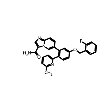 Cc1cccc(-c2ccc(OCc3ccccc3F)cc2-c2ccc3ncc(C(N)=O)n3c2)n1